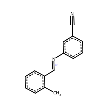 Cc1ccccc1/C=N/c1cccc(C#N)c1